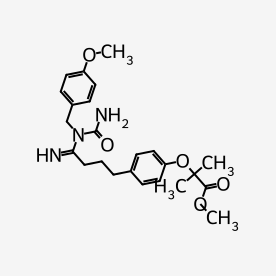 COC(=O)C(C)(C)Oc1ccc(CCCC(=N)N(Cc2ccc(OC)cc2)C(N)=O)cc1